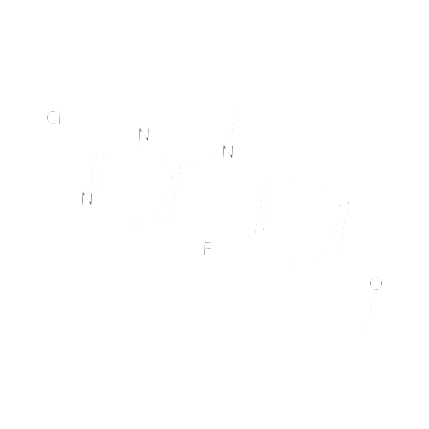 COc1ccc(N(C)c2nc(Cl)ncc2F)cc1